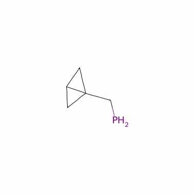 PCC12CC1C2